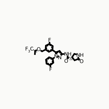 C[C@@H](OCc1cc(F)cc(-c2cc(NC(=O)[C@@H]3CNC(=O)C3)nn2-c2cccc(F)c2)c1)C(F)(F)F